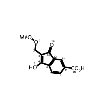 COOCC1=C(O)c2ccc(C(=O)O)cc2C1=O